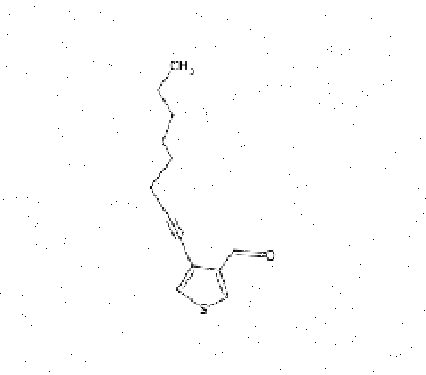 CCCCCCC#Cc1cscc1C=O